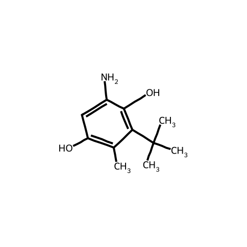 Cc1c(O)cc(N)c(O)c1C(C)(C)C